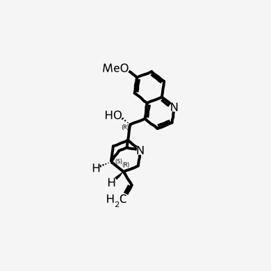 C=C[C@H]1CN2CC[C@H]1CC2[C@H](O)c1ccnc2ccc(OC)cc12